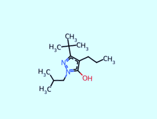 CCCc1c(C(C)(C)C)nn(CC(C)C)c1O